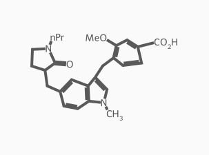 CCCN1CCC(Cc2ccc3c(c2)c(Cc2ccc(C(=O)O)cc2OC)cn3C)C1=O